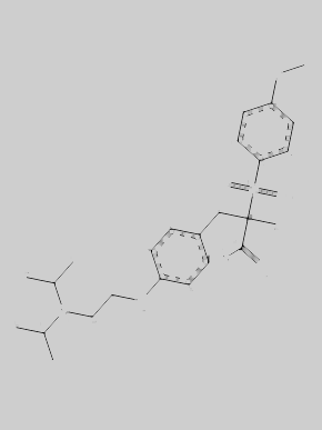 COc1ccc(S(=O)(=O)C(C)(Cc2ccc(OCCN(C(C)C)C(C)C)cc2)C(N)=O)cc1